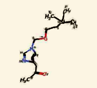 CC(=O)c1cn(COCC[Si](C)(C)C)cn1